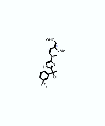 CNC(/C=C\N(C)c1c[nH]c(C(C)(O)c2cccc(C(F)(F)F)c2)n1)=C/C=O